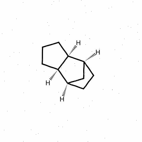 C1C[C@@H]2[C@@H]3CC[C@@H](C3)[C@@H]2C1